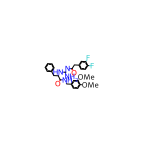 COc1ccc(CNC(=O)C(Cc2ccccc2)NC(N)=NC(=O)Cc2ccc(F)c(F)c2)cc1OC